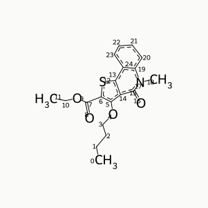 CCCCOc1c(C(=O)OCC)sc2c1c(=O)n(C)c1ccccc21